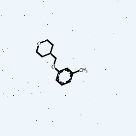 Cc1cccc(OCC2CCOCC2)c1